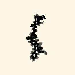 O=C(OCCCOC(=O)c1ccc2c(c1)CCN2/C=C(\C(=O)C(F)(F)F)c1ccccc1)c1ccc2c(c1)CCN2